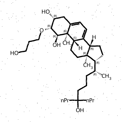 CCCC(O)(CCC)CCC[C@@H](C)[C@H]1CC[C@H]2C3=CC=C4C[C@@H](O)[C@@H](OCCCO)[C@H](O)[C@]4(C)[C@H]3CC[C@]12C